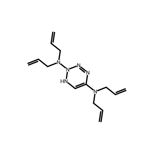 C=CCN(CC=C)C1=CNN(N(CC=C)CC=C)N=N1